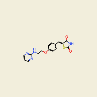 O=C1NC(=O)C(=Cc2ccc(OCCNc3ncccn3)cc2)S1